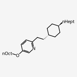 CCCCCCCCOc1ccc(CC[C@H]2CC[C@H](CCCCCCC)CC2)nc1